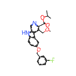 COCc1c(C(=O)OC(C)C)ncc2[nH]c3ccc(OCc4cccc(F)c4)cc3c12